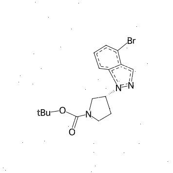 CC(C)(C)OC(=O)N1CC[C@@H](n2ncc3c(Br)cccc32)C1